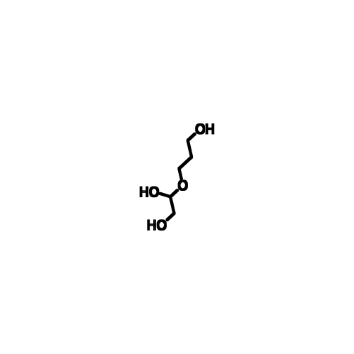 OCCCOC(O)CO